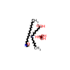 CCCCCCCC/C=C\CCCCCCCC(=O)O.CCCCCCCCCCCCCCCC=CC1=NCCO1.OB(O)O